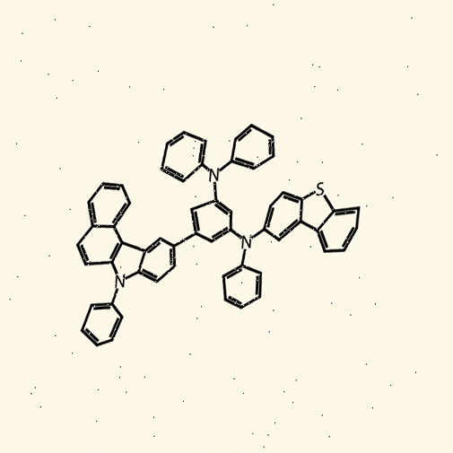 c1ccc(N(c2ccccc2)c2cc(-c3ccc4c(c3)c3c5ccccc5ccc3n4-c3ccccc3)cc(N(c3ccccc3)c3ccc4sc5ccccc5c4c3)c2)cc1